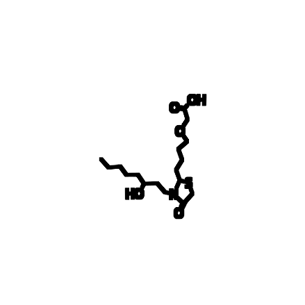 CCCCCC(O)CCN1C(=O)CSC1CCCCOCC(=O)O